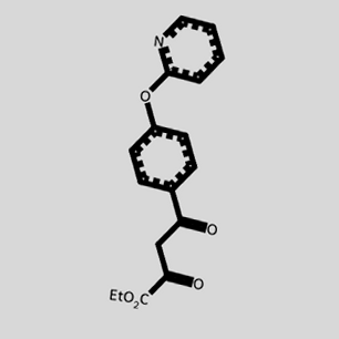 CCOC(=O)C(=O)CC(=O)c1ccc(Oc2ccccn2)cc1